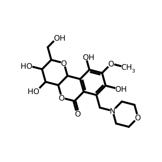 COc1c(O)c(CN2CCOCC2)c2c(c1O)C1OC(CO)C(O)C(O)C1OC2=O